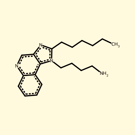 CCCCCCc1nc2cnc3ccccc3c2n1CCCCN